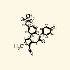 Cn1cc2c(c1C#N)CC(=O)N(c1ccc(F)cc1)c1ccc(CS(C)(=O)=O)cc1-2